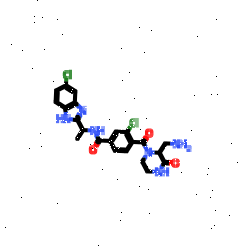 CC(NC(=O)c1ccc(C(=O)N2CCNC(=O)C2CN)c(Cl)c1)c1nc2cc(Cl)ccc2[nH]1